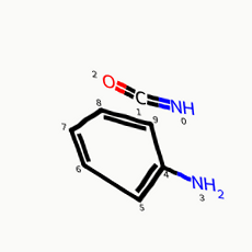 N=C=O.Nc1ccccc1